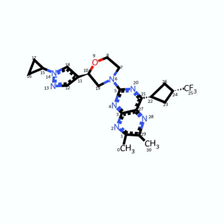 Cc1nc2nc(N3CCO[C@H](c4cnn(C5CC5)c4)C3)nc([C@H]3C[C@@H](C(F)(F)F)C3)c2nc1C